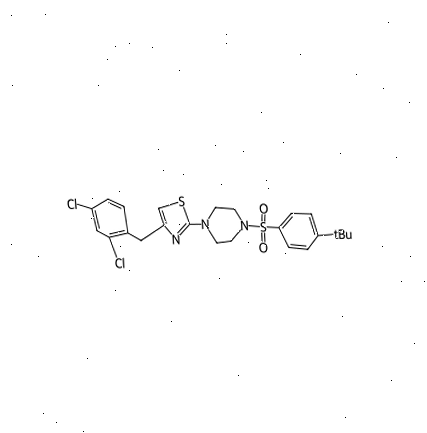 CC(C)(C)c1ccc(S(=O)(=O)N2CCN(c3nc(Cc4ccc(Cl)cc4Cl)cs3)CC2)cc1